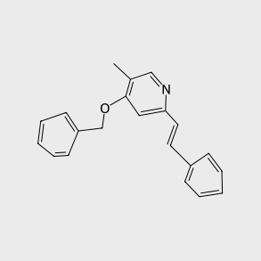 Cc1cnc(C=Cc2ccccc2)cc1OCc1ccccc1